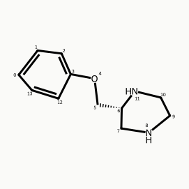 c1ccc(OC[C@H]2CNCCN2)cc1